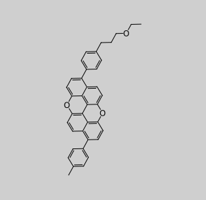 CCOCCCc1ccc(-c2ccc3oc4ccc5c(-c6ccc(C)cc6)ccc6oc7ccc2c3c7-c4c65)cc1